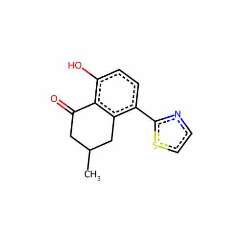 CC1CC(=O)c2c(O)ccc(-c3nccs3)c2C1